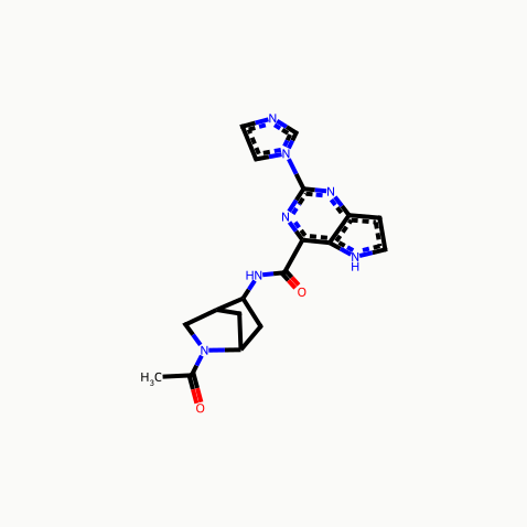 CC(=O)N1CC2CC1CC2NC(=O)c1nc(-n2ccnc2)nc2cc[nH]c12